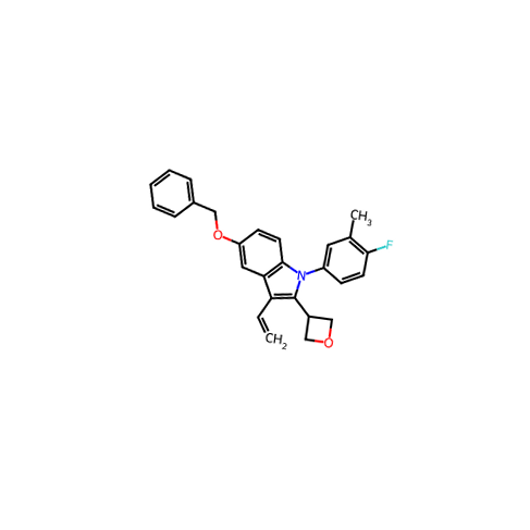 C=Cc1c(C2COC2)n(-c2ccc(F)c(C)c2)c2ccc(OCc3ccccc3)cc12